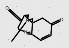 CN1C=C2C(=O)CCN=C3C=CC(=O)CC23C1